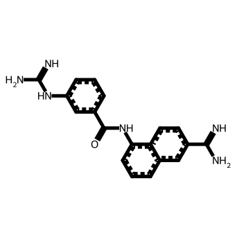 N=C(N)Nc1cccc(C(=O)Nc2cccc3cc(C(=N)N)ccc23)c1